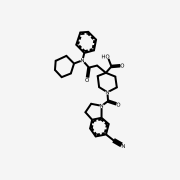 N#Cc1ccc2c(c1)N(C(=O)N1CCC(CC(=O)N(c3ccccc3)C3CCCCC3)(C(=O)O)CC1)CC2